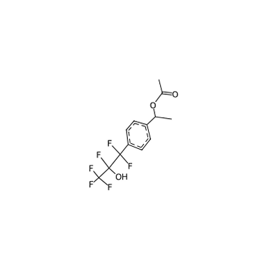 CC(=O)OC(C)c1ccc(C(F)(F)C(O)(F)C(F)(F)F)cc1